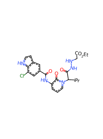 CCOC(=O)CNNC(=O)C(C(C)C)n1cccc(NC(=O)c2cc(Cl)c3[nH]ccc3c2)c1=O